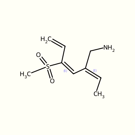 C=C/C(=C\C(=C/C)CN)S(C)(=O)=O